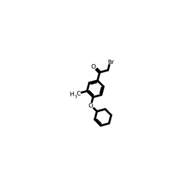 Cc1cc(C(=O)CBr)ccc1OC1C=CCCC1